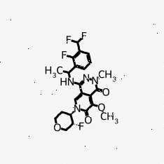 COc1c(=O)n([C@@H]2CCOC[C@H]2F)cc2c(NC(C)c3cccc(C(F)F)c3F)nn(C)c(=O)c12